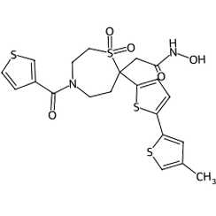 Cc1csc(-c2ccc(C3(CC(=O)NO)CCN(C(=O)c4ccsc4)CCS3(=O)=O)s2)c1